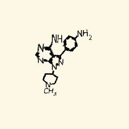 CN1CCC(n2nc(-c3ccc(N)cc3)c3c(N)ncnc32)CC1